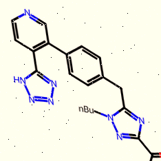 CCCCC(=O)c1nc(Cc2ccc(-c3cnccc3-c3nnn[nH]3)cc2)n(CCCC)n1